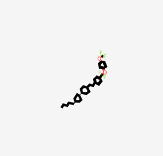 CCCCC[C@H]1CC[C@H](C2CCC(CCc3ccc(C(F)(F)Oc4ccc(OC(F)F)cc4)cc3)CC2)CC1